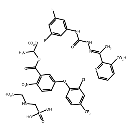 C/C(=N\NC(=O)Nc1cc(F)cc(F)c1)c1ncccc1C(=O)O.CCOC(=O)C(C)OC(=O)c1cc(Oc2ccc(C(F)(F)F)cc2Cl)ccc1[N+](=O)[O-].O=C(O)CNCP(=O)(O)O